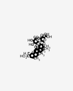 CC1(C)[C@@H](OC2O[C@H](C(O)O)[C@@H](O)[C@H](O)[C@H]2O[C@@H]2O[C@H](C(=O)O)[C@@H](O)[C@H](O)[C@H]2O)CC[C@]2(C)[C@H]3C(=O)C=C4[C@@H]5C[C@@](C)(C(=O)O)CC[C@]5(C)CC[C@@]4(C)[C@]3(C)CC[C@@H]12